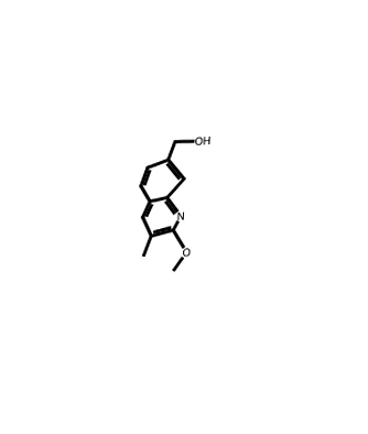 COc1nc2cc(CO)ccc2cc1C